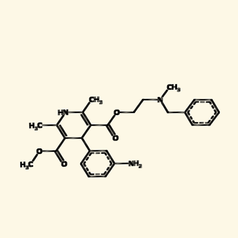 COC(=O)C1=C(C)NC(C)=C(C(=O)OCCN(C)Cc2ccccc2)C1c1cccc(N)c1